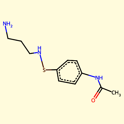 CC(=O)Nc1ccc(SNCCCN)cc1